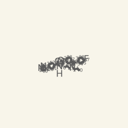 C=CCN(CCC[C@H](NC(=O)c1ccc(-n2ccnn2)cc1)C(=O)N1CCCCC1)[C@@H]1C[C@H]1c1ccc(F)cc1